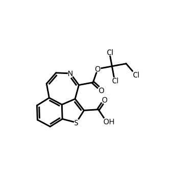 O=C(OC(Cl)(Cl)CCl)C1=NC=Cc2cccc3sc(C(=O)O)c1c23